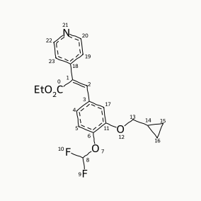 CCOC(=O)/C(=C\c1ccc(OC(F)F)c(OCC2CC2)c1)c1ccncc1